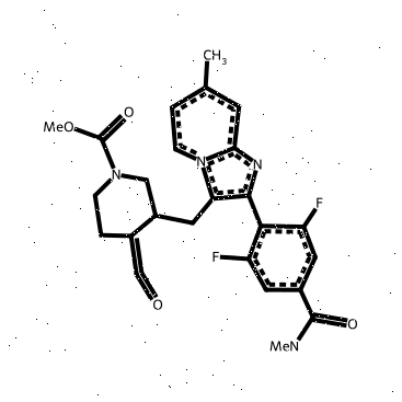 CNC(=O)c1cc(F)c(-c2nc3cc(C)ccn3c2CC2CN(C(=O)OC)CCC2=C=O)c(F)c1